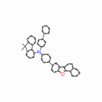 CC1(C)c2ccccc2-c2c(N(c3ccc(-c4ccccc4)cc3)c3ccc(-c4ccc5oc6c7ccccc7ccc6c5c4)cc3)cccc21